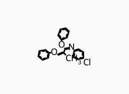 CC(=COc1ccccc1)C(=Nc1ccc(Cl)cc1)Oc1ccccc1